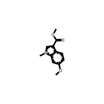 COC(=O)c1cn(C)c2cc(OC)ccc12